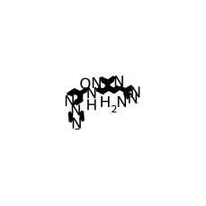 CN1CCN(c2cc(C(=O)Nc3cc4cc(-c5cnn(C)c5N)ncc4cn3)ccn2)CC1